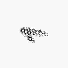 CCOC1CCC2C[C@H](OC(=O)c3cc(Sc4ccc(Cl)cc4)c4c(c3N)C(=O)c3ccccc3C4=O)CC[C@@H]2C1